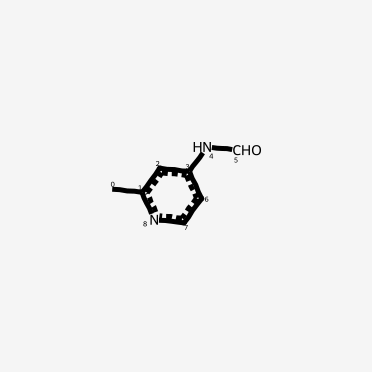 Cc1cc(NC=O)ccn1